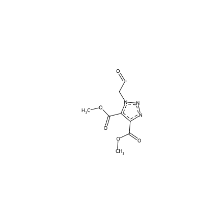 COC(=O)c1nnn(C[C]=O)c1C(=O)OC